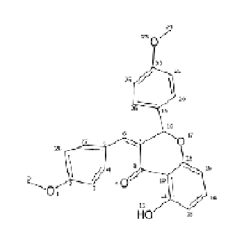 COc1ccc(C=C2C(=O)c3c(O)cccc3OC2c2ccc(OC)cc2)cc1